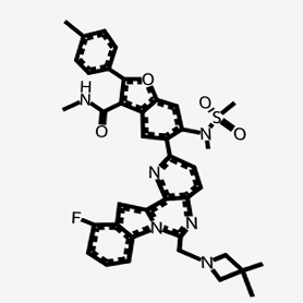 CNC(=O)c1c(-c2ccc(C)cc2)oc2cc(N(C)S(C)(=O)=O)c(-c3ccc4nc(CN5CC(C)(C)C5)n5c6cccc(F)c6cc5c4n3)cc12